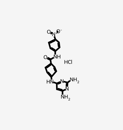 Cl.Nc1cc(Nc2ccc(C(=O)Nc3ccc([N+](=O)[O-])cc3)cc2)nc(N)n1